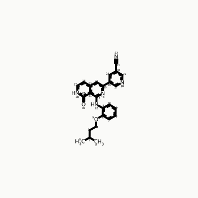 CC(C)CCOc1ccccc1Nc1nc(-c2cncc(C#N)c2)cc2cc[nH]c(=O)c12